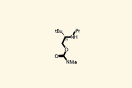 CNC(=O)OC[C@@H](NC(C)C)C(C)(C)C